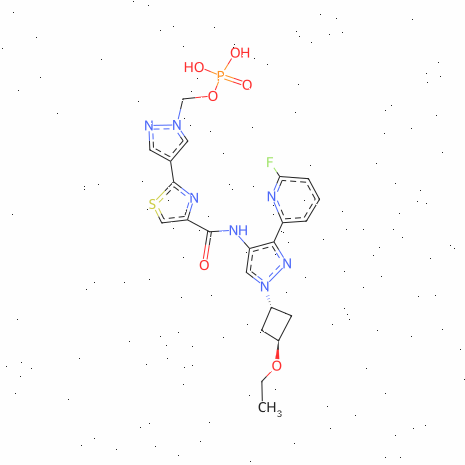 CCO[C@H]1C[C@H](n2cc(NC(=O)c3csc(-c4cnn(COP(=O)(O)O)c4)n3)c(-c3cccc(F)n3)n2)C1